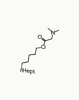 CCCCCCCCCCCCOC(=O)CN(C)C